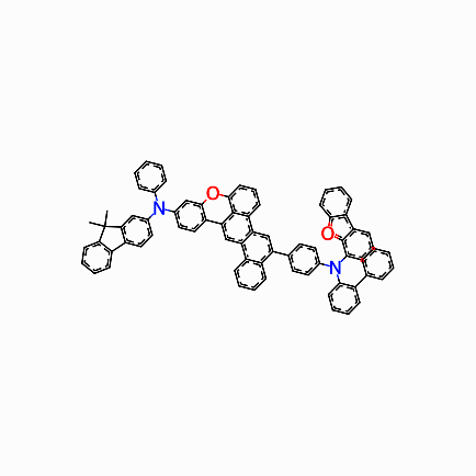 CC1(C)c2ccccc2-c2ccc(N(c3ccccc3)c3ccc4c(c3)Oc3cccc5c3c-4cc3c4ccccc4c(-c4ccc(N(c6ccccc6-c6ccccc6)c6cccc7c6oc6ccccc67)cc4)cc53)cc21